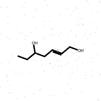 CCC(O)C/C=C/CO